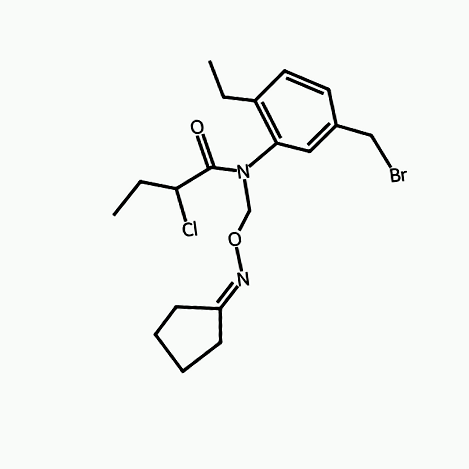 CCc1ccc(CBr)cc1N(CON=C1CCCC1)C(=O)C(Cl)CC